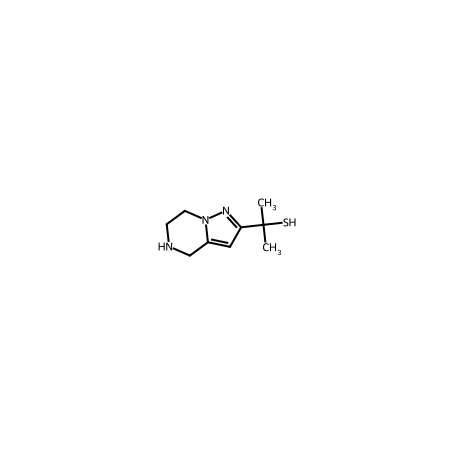 CC(C)(S)c1cc2n(n1)CCNC2